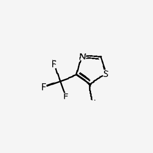 [CH2]c1scnc1C(F)(F)F